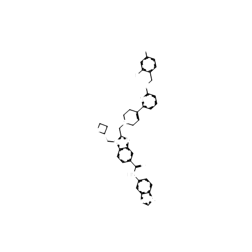 O=C(Nc1ccc2ncsc2c1)c1ccc2c(c1)nc(CN1CC=C(c3cccc(OCc4ccc(Cl)cc4F)n3)CC1)n2C[C@@H]1CCO1